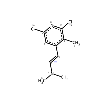 Cc1c(/C=C/N(C)C)cc(Cl)nc1Cl